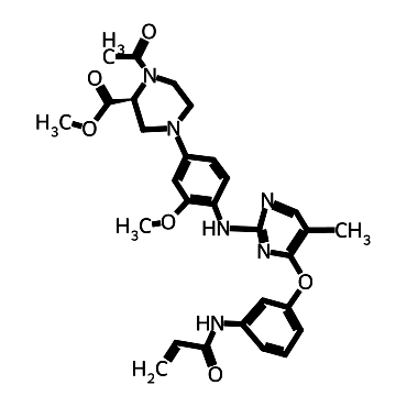 C=CC(=O)Nc1cccc(Oc2nc(Nc3ccc(N4CCN(C(C)=O)[C@H](C(=O)OC)C4)cc3OC)ncc2C)c1